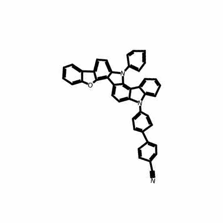 N#Cc1ccc(-c2ccc(-n3c4ccccc4c4c3ccc3c5c6oc7ccccc7c6ccc5n(-c5ccccc5)c34)cc2)cc1